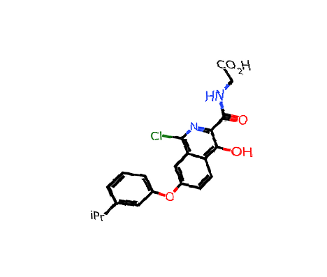 CC(C)c1cccc(Oc2ccc3c(O)c(C(=O)NCC(=O)O)nc(Cl)c3c2)c1